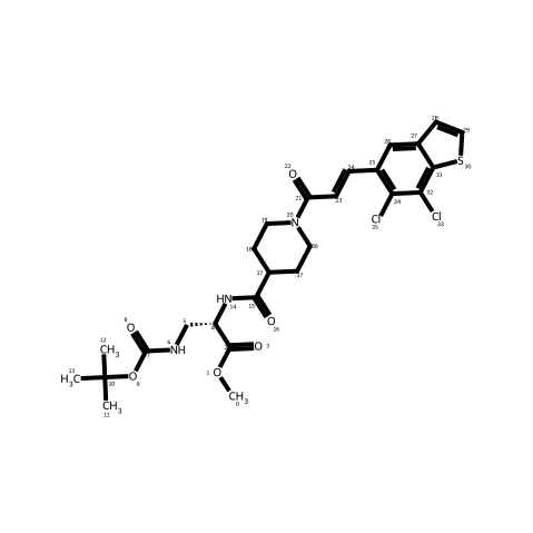 COC(=O)[C@H](CNC(=O)OC(C)(C)C)NC(=O)C1CCN(C(=O)/C=C/c2cc3ccsc3c(Cl)c2Cl)CC1